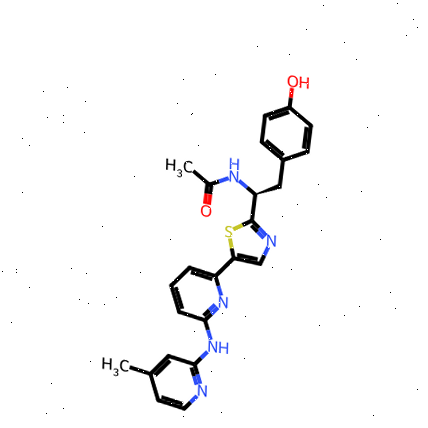 CC(=O)N[C@@H](Cc1ccc(O)cc1)c1ncc(-c2cccc(Nc3cc(C)ccn3)n2)s1